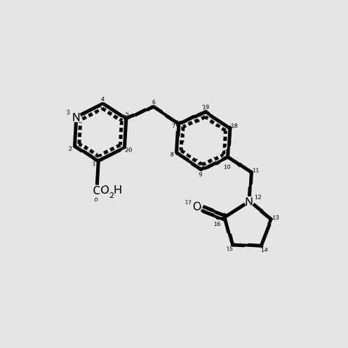 O=C(O)c1cncc(Cc2ccc(CN3CCCC3=O)cc2)c1